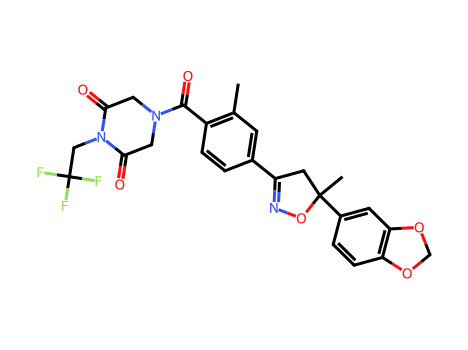 Cc1cc(C2=NOC(C)(c3ccc4c(c3)OCO4)C2)ccc1C(=O)N1CC(=O)N(CC(F)(F)F)C(=O)C1